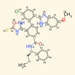 CCC[C@@H](NC(=O)c1ccc(-c2cc(Cl)ccc2-c2nc3cc(OC)ccc3[nH]2)c(-c2nc(=S)o[nH]2)c1)c1ccccc1